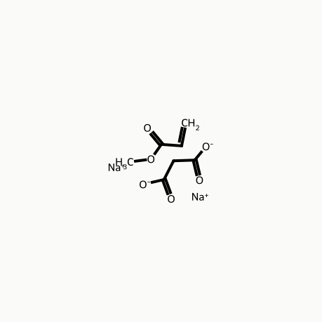 C=CC(=O)OC.O=C([O-])CC(=O)[O-].[Na+].[Na+]